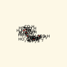 CC(C)[C@H](N)C(=O)O.C[C@H](N)C(=O)O.C[C@H](N)C(=O)O.NC(=O)CC[C@H](N)C(=O)O.NC(=O)C[C@H](N)C(=O)O.NCC(=O)O.NCCCC[C@H](N)C(=O)O.N[C@@H](CC(=O)O)C(=O)O.N[C@@H](CO)C(=O)O.O=C(O)[C@@H]1CCCN1